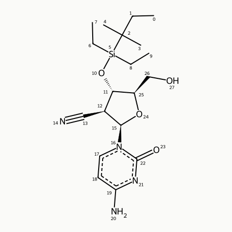 CCC(C)(C)[Si](CC)(CC)O[C@H]1[C@H](C#N)[C@H](n2ccc(N)nc2=O)O[C@@H]1CO